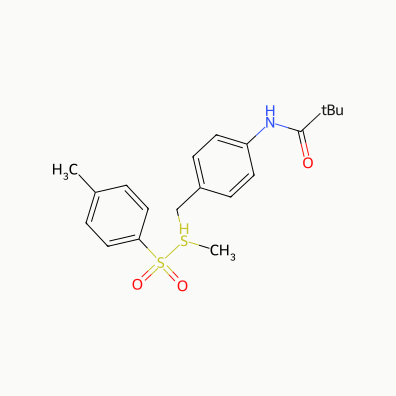 Cc1ccc(S(=O)(=O)[SH](C)Cc2ccc(NC(=O)C(C)(C)C)cc2)cc1